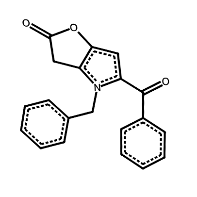 O=C1Cc2c(cc(C(=O)c3ccccc3)n2Cc2ccccc2)O1